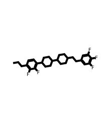 CCCc1ccc(C2CCC(C3CCC(CCc4cc(F)c(F)c(F)c4)CC3)CC2)c(F)c1F